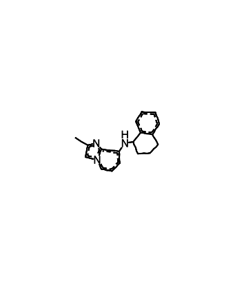 Cc1cn2cccc(NC3CCCc4ccccc43)c2n1